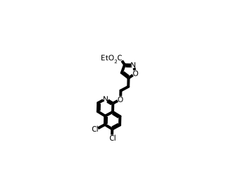 CCOC(=O)c1cc(CCOc2nccc3c(Cl)c(Cl)ccc23)on1